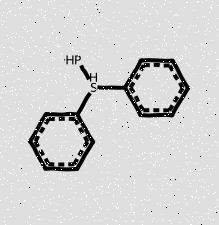 [PH][SH](c1ccccc1)c1ccccc1